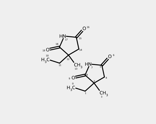 CCC1(C)CC(=O)NC1=O.CCC1(C)CC(=O)NC1=O